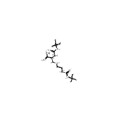 CC(C)(C)OC(=O)NCCOC[C@H](NC(=O)OC(C)(C)C)C(=O)O